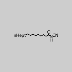 CCCCCCCCCCCCCCCC(=O)NC#N